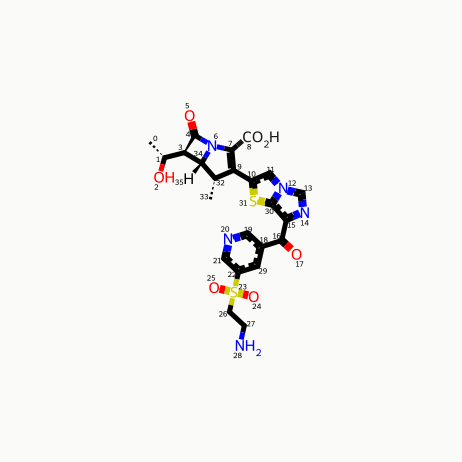 C[C@@H](O)[C@H]1C(=O)N2C(C(=O)O)=C(c3cn4cnc(C(=O)c5cncc(S(=O)(=O)CCN)c5)c4s3)[C@H](C)[C@H]12